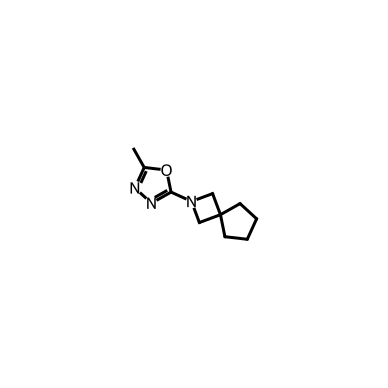 Cc1nnc(N2CC3(CCCC3)C2)o1